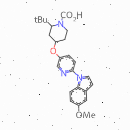 COc1ccc2c(ccn2-c2ccc(OC3CCN(C(=O)O)C(C(C)(C)C)C3)cn2)c1